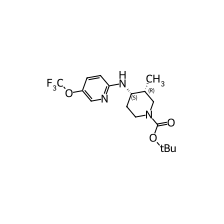 C[C@@H]1CN(C(=O)OC(C)(C)C)CC[C@@H]1Nc1ccc(OC(F)(F)F)cn1